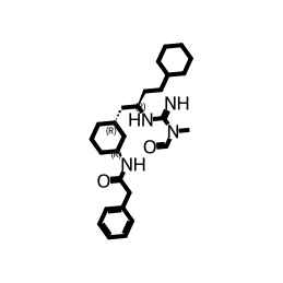 CN(C=O)C(=N)N[C@H](CCC1CCCCC1)C[C@H]1CCC[C@@H](NC(=O)Cc2ccccc2)C1